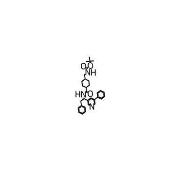 CC(C)(C)OC(=O)NCC1CCC(C(=O)NC(Cc2ccccc2)c2cncc(-c3ccccc3)c2)CC1